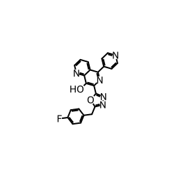 Oc1c(-c2nnc(Cc3ccc(F)cc3)o2)nc(-c2ccncc2)c2cccnc12